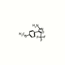 COc1ccc(-c2c(N)noc2C(F)(F)F)cc1